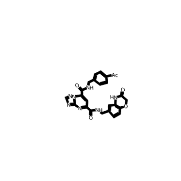 CC(=O)c1ccc(CNC(=O)c2cc(C(=O)NCc3ccc4c(c3)NC(=O)CO4)nc3ncnn23)cc1